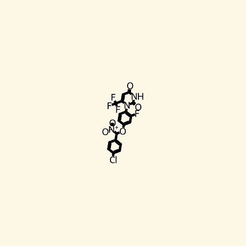 O=c1cc(C(F)(F)F)n(-c2ccc(OC(c3ccc(Cl)cc3)[N+](=O)[O-])cc2F)c(=O)[nH]1